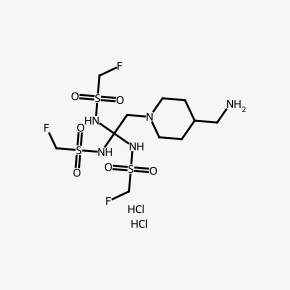 Cl.Cl.NCC1CCN(CC(NS(=O)(=O)CF)(NS(=O)(=O)CF)NS(=O)(=O)CF)CC1